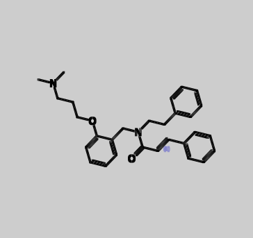 CN(C)CCCOc1ccccc1CN(CCc1ccccc1)C(=O)/C=C/c1ccccc1